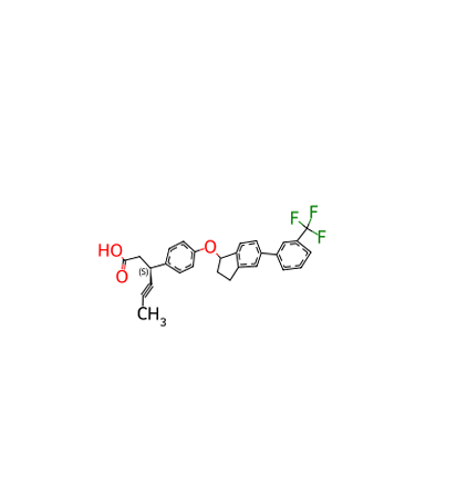 CC#C[C@@H](CC(=O)O)c1ccc(OC2CCc3cc(-c4cccc(C(F)(F)F)c4)ccc32)cc1